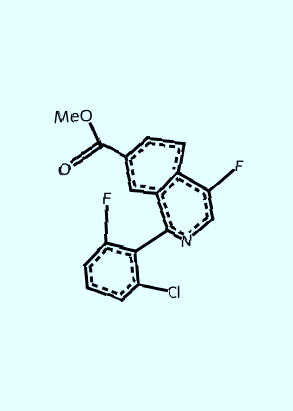 COC(=O)c1ccc2c(F)cnc(-c3c(F)cccc3Cl)c2c1